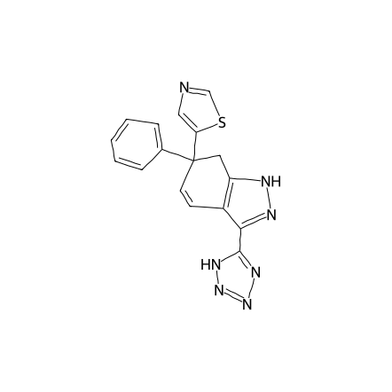 C1=CC(c2ccccc2)(c2cncs2)Cc2[nH]nc(-c3nnn[nH]3)c21